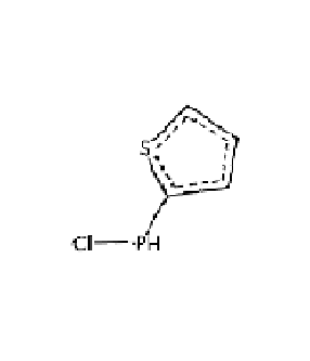 ClPc1cccs1